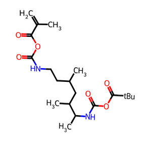 C=C(C)C(=O)OC(=O)NCCC(C)CC(C)C(C)NC(=O)OC(=O)C(C)(C)C